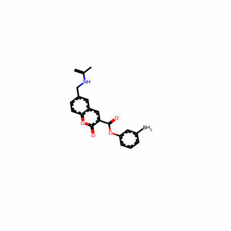 Bc1cccc(OC(=O)c2cc3cc(CNC(=C)C)ccc3oc2=O)c1